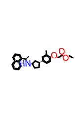 CCOC(=O)COc1ccc([C@@H]2CC[C@H](N[C@H](C)c3cccc4ccccc34)C2)cc1C